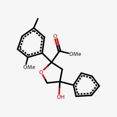 COC(=O)C1(c2cc(C)ccc2OC)CC(O)(c2ccccc2)CO1